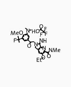 CCOc1cc2c(nc1C(=O)NC)C(=N)N(CC(=O)c1cc(N(C)C)c(OC)c(C(C)(C)F)c1)C2.O=C(O)C(F)(F)F